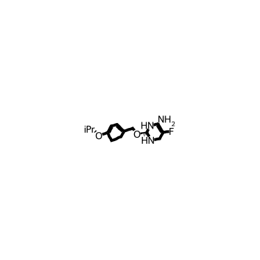 CC(C)OC1=CC=C(CO[C@@H]2NCC(F)=C(N)N2)CC1